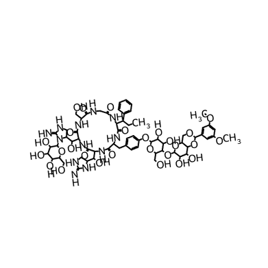 CCC(c1ccccc1)C1NC(=O)CNC(=O)C(CO)NC(=O)C(C(O)C2CNC(=N)N2C2OC(CO)C(O)C(O)C2O)NC(=O)C(C(O)C2CNC(=N)N2)NC(=O)C(Cc2ccc(OC3OC(CO)C(OC4OC5COC(c6cc(OC)cc(OC)c6)OC5C(O)C4O)C(O)C3O)cc2)NC1=O